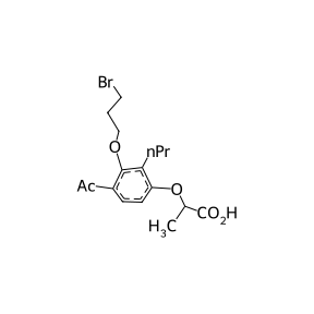 CCCc1c(OC(C)C(=O)O)ccc(C(C)=O)c1OCCCBr